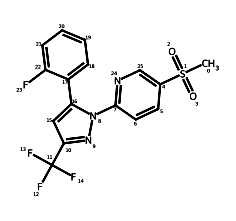 CS(=O)(=O)c1ccc(-n2nc(C(F)(F)F)cc2-c2ccccc2F)nc1